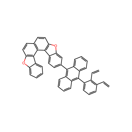 C=Cc1cccc(-c2c3ccccc3c(-c3ccc4c(c3)oc3ccc5ccc6oc7ccccc7c6c5c34)c3ccccc23)c1C=C